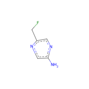 Nc1cnc(CF)cn1